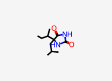 CCC(C)C1(CC(C)C)NC(=O)NC1=O